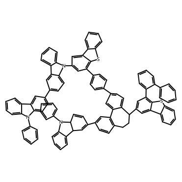 C1=CC2C(C=C1c1ccc3c(c1)-c1cc(-c4ccc(-c5cc(-n6c7ccccc7c7cc(-c8ccc9c(c8)c8ccccc8n9-c8ccccc8)ccc76)cc6c5sc5ccccc56)cc4)ccc1C(c1cc(-c4ccccc4-c4ccccc4)c4sc5ccccc5c4c1)CC3)c1ccccc1N2c1ccccc1